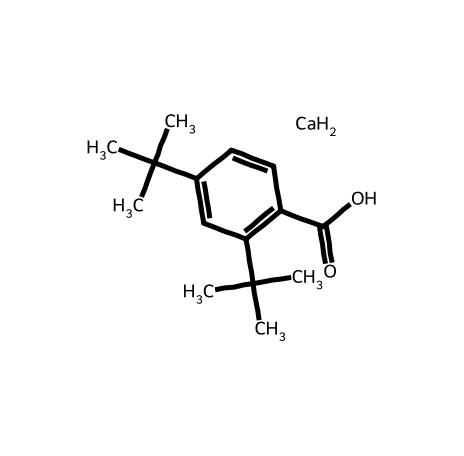 CC(C)(C)c1ccc(C(=O)O)c(C(C)(C)C)c1.[CaH2]